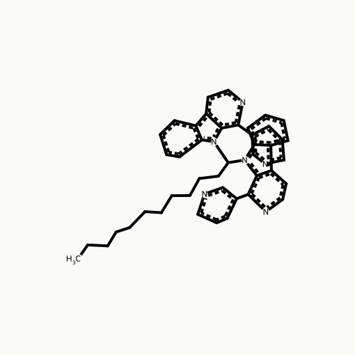 CCCCCCCCCCCC(n1c2ccccc2c2ccnc(-c3cccnc3)c21)n1c2ccccc2c2ccnc(-c3cccnc3)c21